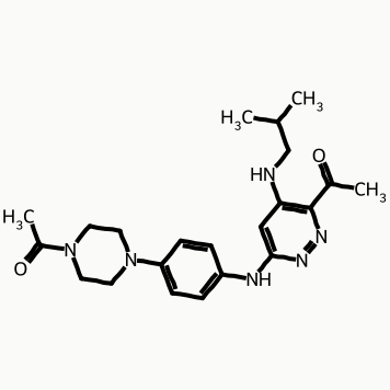 CC(=O)c1nnc(Nc2ccc(N3CCN(C(C)=O)CC3)cc2)cc1NCC(C)C